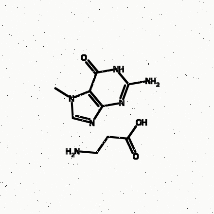 Cn1cnc2nc(N)[nH]c(=O)c21.NCCC(=O)O